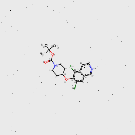 CC(C)(C)OC(=O)N1CCC(Oc2c(F)cc3cnccc3c2F)CC1